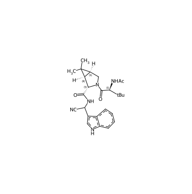 CC(=O)N[C@H](C(=O)N1C[C@H]2[C@@H]([C@H]1C(=O)NC(C#N)c1c[nH]c3ccccc13)C2(C)C)C(C)(C)C